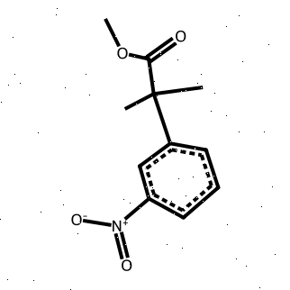 COC(=O)C(C)(C)c1cccc([N+](=O)[O-])c1